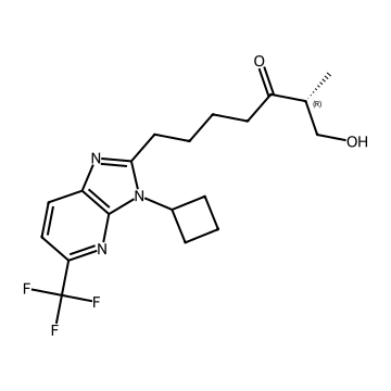 C[C@H](CO)C(=O)CCCCc1nc2ccc(C(F)(F)F)nc2n1C1CCC1